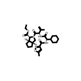 C=C(C)[C@H](NC(=O)[C@@H](NC(=O)c1cc(C)on1)C1CCCCC1)C(=O)N1C[C@@H]2CCC[C@@H]2[C@H]1C(=O)OCC